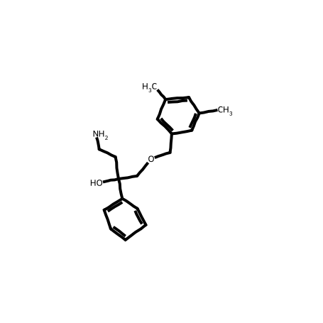 Cc1cc(C)cc(COCC(O)(CCN)c2ccccc2)c1